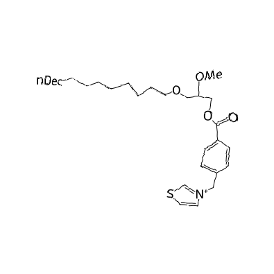 CCCCCCCCCCCCCCCCCCOCC(COC(=O)c1ccc(C[n+]2ccsc2)cc1)OC